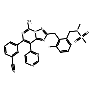 CN(Cc1cccc(F)c1Cc1nc2c(-c3ccncn3)c(-c3cccc(C#N)c3)nc(N)n2n1)S(C)(=O)=O